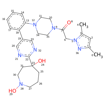 Cc1cc(C)n(CC(=O)N2CCN(c3ccccc3-c3cnc(C4(O)CCCN(O)CC4)nc3)CC2)n1